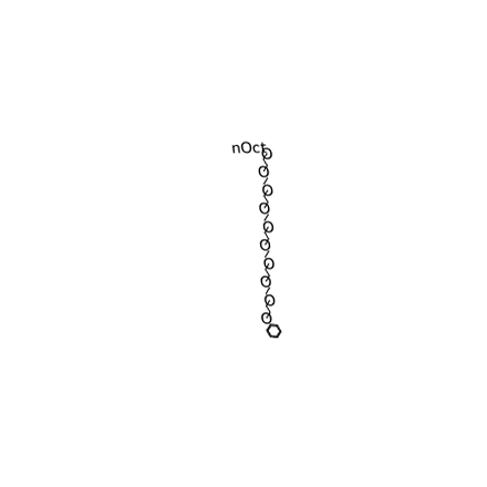 CCCCCCCCOCCOCCOCCOCCOCCOCCOCCOCCOCCOc1ccccc1